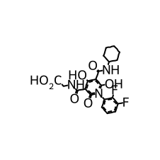 O=C(O)CNC(=O)c1c(O)c(C(=O)NC2CCCCC2)c(O)n(-c2cccc(F)c2F)c1=O